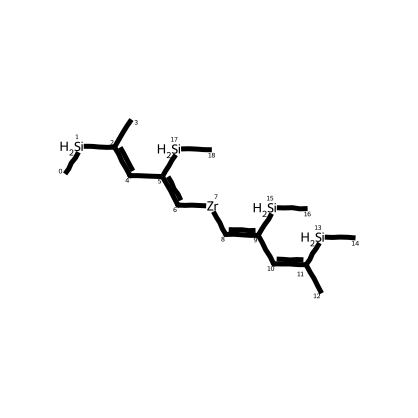 C[SiH2]C(C)=CC(=[CH][Zr][CH]=C(C=C(C)[SiH2]C)[SiH2]C)[SiH2]C